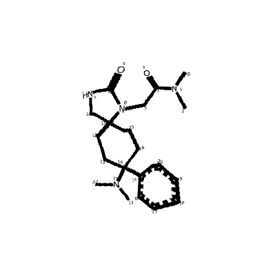 CN(C)C(=O)CN1C(=O)NCC12CCC(c1ccccc1)(N(C)C)CC2